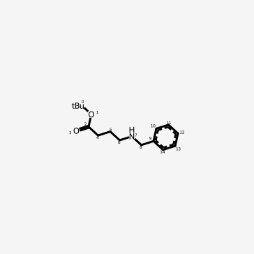 CC(C)(C)OC(=O)CCCNCc1ccccc1